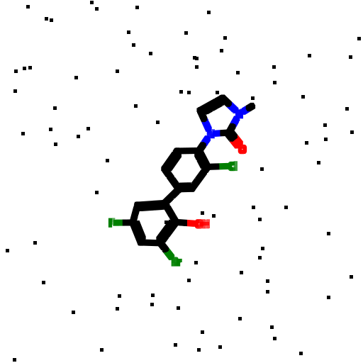 Cn1ccn(-c2ccc(-c3cc(F)cc(Br)c3O)cc2Cl)c1=O